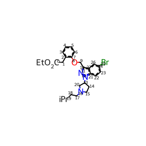 CCOC(=O)Cc1ccccc1OCc1nn(C2CCN(CCC(C)C)C2)c2ccc(Br)cc12